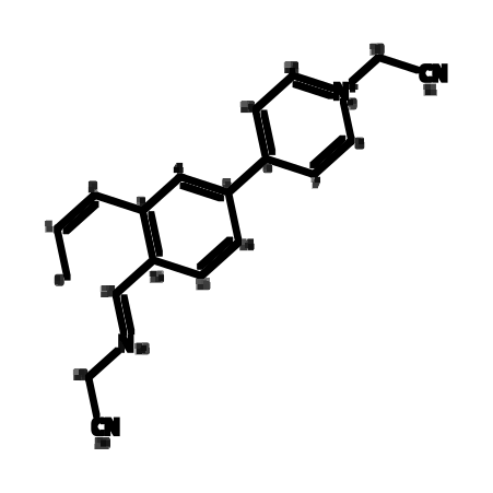 C/C=C\c1cc(-c2cc[n+](CC#N)cc2)ccc1/C=N/CC#N